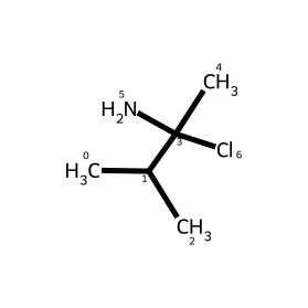 CC(C)C(C)(N)Cl